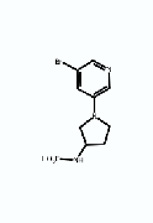 O=C(O)NC1CCN(c2cncc(Br)c2)C1